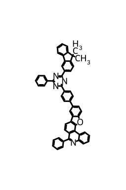 CC1(C)c2ccccc2-c2cc(-c3nc(-c4ccccc4)nc(-c4ccc(-c5ccc6oc7c(ccc8c(-c9ccccc9)nc9ccccc9c87)c6c5)cc4)n3)ccc21